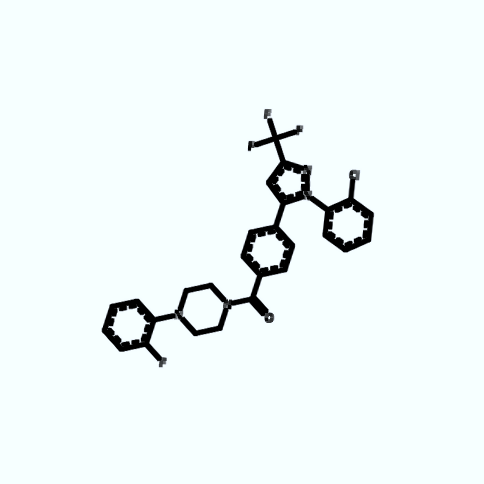 O=C(c1ccc(-c2cc(C(F)(F)F)nn2-c2ccccc2Cl)cc1)N1CCN(c2ccccc2F)CC1